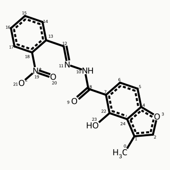 Cc1coc2ccc(C(=O)N/N=C/c3ccccc3[N+](=O)[O-])c(O)c12